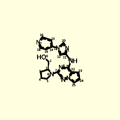 OC[C@@H]1CCCN1c1nc(Nc2cn(-c3ccncc3)cn2)c2cccn2n1